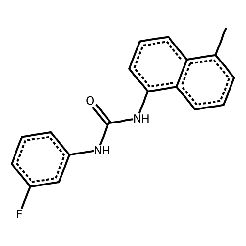 Cc1cccc2c(NC(=O)Nc3cccc(F)c3)cccc12